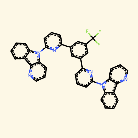 FC(F)(F)c1cc(-c2cccc(-n3c4ccccc4c4ncccc43)n2)cc(-c2cccc(-n3c4ccccc4c4ncccc43)n2)c1